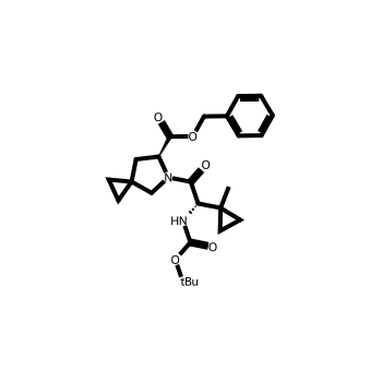 CC(C)(C)OC(=O)N[C@H](C(=O)N1CC2(CC2)C[C@H]1C(=O)OCc1ccccc1)C1(C)CC1